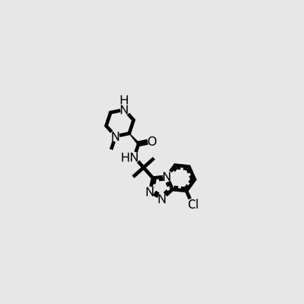 CN1CCNC[C@H]1C(=O)NC(C)(C)c1nnc2c(Cl)cccn12